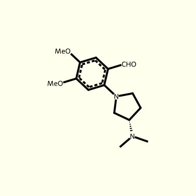 COc1cc(C=O)c(N2CC[C@H](N(C)C)C2)cc1OC